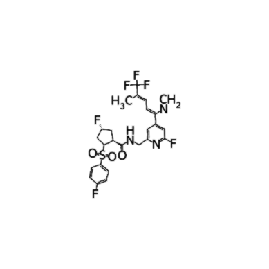 C=N/C(=C\C=C(/C)C(F)(F)F)c1cc(F)nc(CNC(=O)[C@@H]2C[C@@H](F)CC2S(=O)(=O)c2ccc(F)cc2)c1